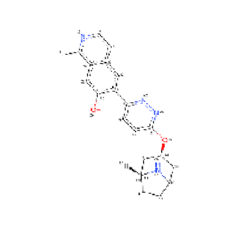 Cc1nccc2cc(-c3ccc(O[C@H]4CC5CC[C@H](C4)N5)nn3)c(O)cc12